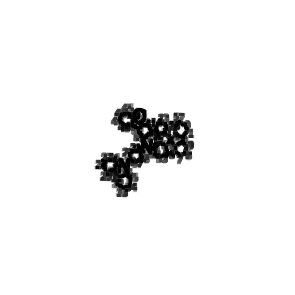 c1ccc(C2(c3ccccc3)c3ccccc3-c3c(N(c4ccc(-n5c6ccccc6c6ccccc65)cc4)c4ccc5oc6ccccc6c5c4)cccc32)cc1